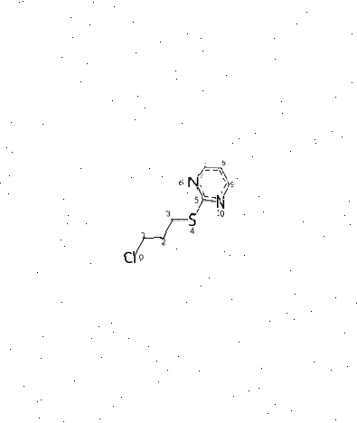 ClCCCSc1ncccn1